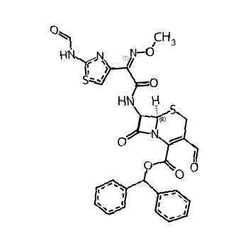 CO/N=C(\C(=O)NC1C(=O)N2C(C(=O)OC(c3ccccc3)c3ccccc3)=C(C=O)CS[C@H]12)c1csc(NC=O)n1